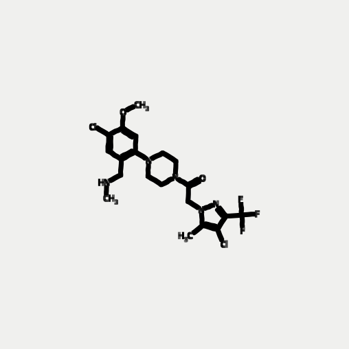 CNCc1cc(Cl)c(OC)cc1N1CCN(C(=O)Cn2nc(C(F)(F)F)c(Cl)c2C)CC1